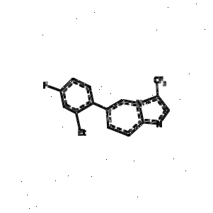 CCc1cc(F)ccc1-c1ccc2ncc(C(F)(F)F)n2c1